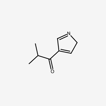 CC(C)C(=O)C1=CCN=C1